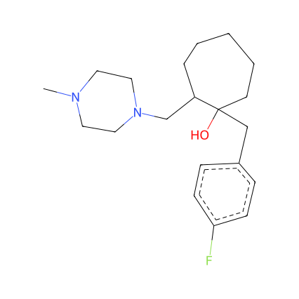 CN1CCN(CC2CCCCCC2(O)Cc2ccc(F)cc2)CC1